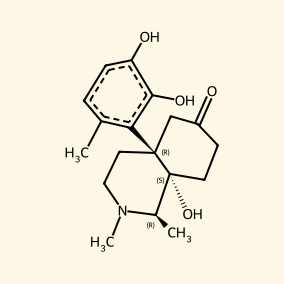 Cc1ccc(O)c(O)c1[C@]12CCN(C)[C@H](C)[C@]1(O)CCC(=O)C2